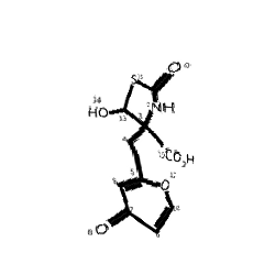 O=C1NC(Cc2cc(=O)cco2)(C(=O)O)C(O)S1